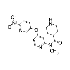 CN(C(=O)C1CCNCC1)c1cc(Oc2ccc([N+](=O)[O-])nc2)ccn1